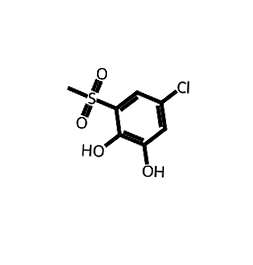 CS(=O)(=O)c1cc(Cl)cc(O)c1O